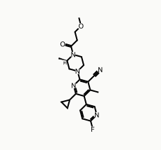 COCCC(=O)N1CCN(c2nc(C3CC3)c(-c3ccc(F)nc3)c(C)c2C#N)C[C@H]1C